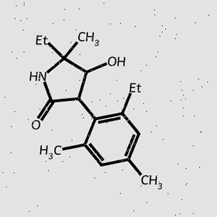 CCc1cc(C)cc(C)c1C1C(=O)NC(C)(CC)C1O